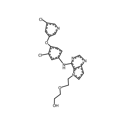 OCCOCCn1ccc2ncnc(Nc3ccc(Oc4cncc(Cl)c4)c(Cl)c3)c21